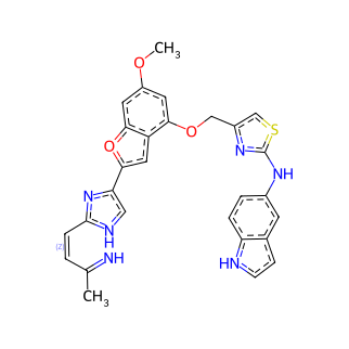 COc1cc(OCc2csc(Nc3ccc4[nH]ccc4c3)n2)c2cc(-c3c[nH]c(/C=C\C(C)=N)n3)oc2c1